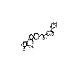 CC1=C(N2CCC3(CCN(CC(O)c4cncc(-n5cnnn5)n4)CC3)C2=O)COC1=O